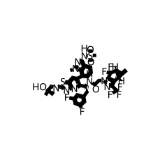 C=C1[C@@H]2c3c(C(F)(F)F)nn(CC(=O)N[C@@H](Cc4cc(F)cc(F)c4)c4nc5nc(N6CC(C)(O)C6)sc5cc4-c4cccc5c(NS(C)(=O)=O)nn(C)c45)c3C(F)(F)[C@H]12